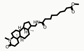 COC(=O)CCCCCCCC(=O)NCC1CC[C@H]2[C@@H]3CCC4N(C)C(=O)CC[C@]4(C)[C@@H]3CC[C@]12C